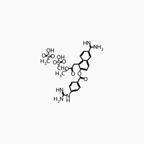 COC(=O)Cc1c(OC(=O)c2ccc(NC(=N)N)cc2)ccc2cc(C(=N)N)ccc12.CS(=O)(=O)O.CS(=O)(=O)O